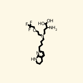 N[C@@H](CCN(CCCCc1ccc2c(n1)NCCC2)CCOCC(F)(F)F)C(O)O